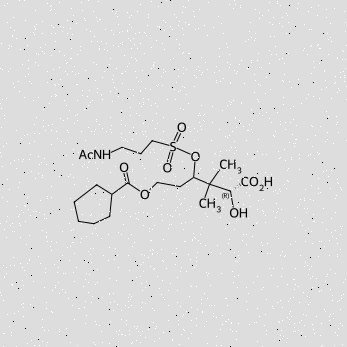 CC(=O)NCCCS(=O)(=O)OC(CCOC(=O)C1CCCCC1)C(C)(C)[C@@H](O)C(=O)O